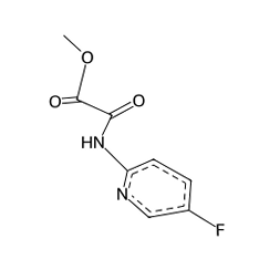 COC(=O)C(=O)Nc1ccc(F)cn1